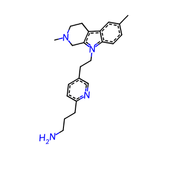 Cc1ccc2c(c1)c1c(n2CCc2ccc(CCCN)nc2)CN(C)CC1